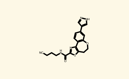 N#CCCCNC(=O)c1nc2c(s1)CCOc1cc(-c3cn[nH]c3)ccc1-2